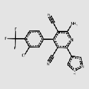 N#Cc1c(N)nc(-c2cn[nH]c2)c(C#N)c1-c1ccc(C(F)(F)F)c(Cl)c1